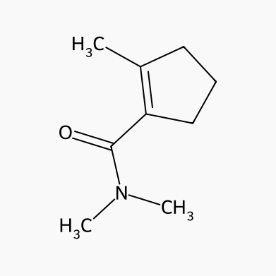 CC1=C(C(=O)N(C)C)CCC1